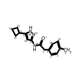 Cc1ccc(CC(=O)Nc2cc(C3CCC3)[nH]n2)cc1